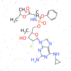 CC(C)OC(=O)[C@H](C)N[P@](=O)(OC[C@@]1(C)O[C@@H](n2cnc3c(NC4CC4)nc(N)nc32)[C@H](F)[C@@H]1O)Oc1ccccc1